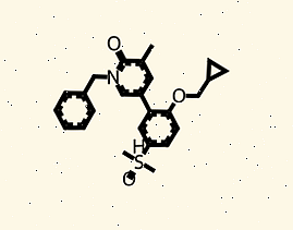 Cc1cc(-c2cc([SH](C)(C)=O)ccc2OCC2CC2)cn(Cc2ccccc2)c1=O